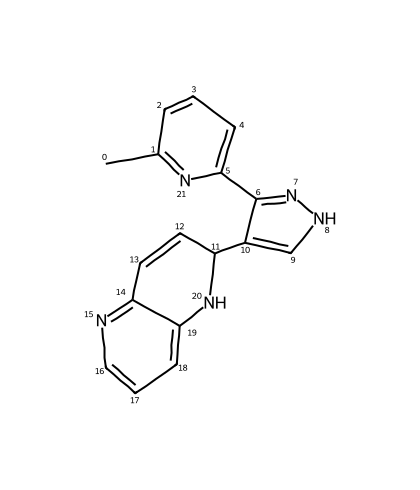 Cc1cccc(-c2n[nH]cc2C2C=Cc3ncccc3N2)n1